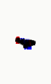 Cc1ccccc1S(=O)(=O)c1nc2[nH]ccc2c2c1ncn2N1CCC(CNS(C)(=O)=O)CC1